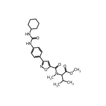 COC(=O)C(C(C)C)N(C)C(=O)c1cc(-c2ccc(NC(=O)NC3CCCCC3)cc2)no1